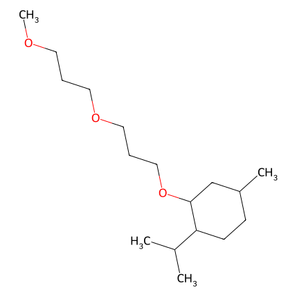 COCCCOCCCOC1CC(C)CCC1C(C)C